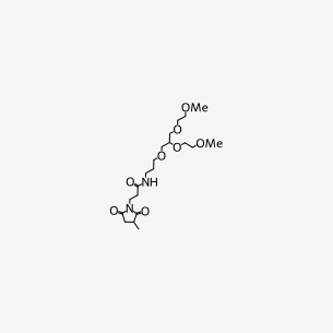 COCCOCC(COCCCNC(=O)CCN1C(=O)CC(C)C1=O)OCCOC